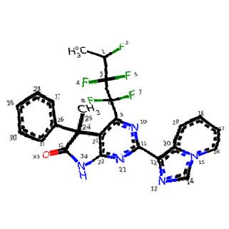 CC(F)C(F)(F)C(F)(F)c1nc(-c2ncn3ccccc23)nc2c1C(C)(c1ccccc1)C(=O)N2